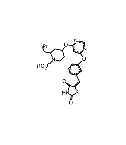 CC(C)CC1CC(Oc2cc(Oc3cccc(C=C4SC(=O)NC4=O)c3)ncn2)CCN1C(=O)O